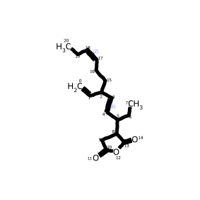 C=CC(/C=C/C(CC)C1CC(=O)OC1=O)CC/C=C\CC